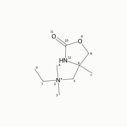 CC[N+](C)(C)CC1(C)COC(=O)N1